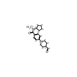 CN(C(=O)c1ccc(N2CCC(C=O)CC2)cc1)C1CCCC1